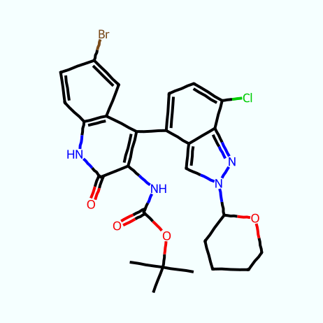 CC(C)(C)OC(=O)Nc1c(-c2ccc(Cl)c3nn(C4CCCCO4)cc23)c2cc(Br)ccc2[nH]c1=O